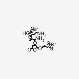 C=CC(N)=O.C=CCS(=O)(=O)[O-].NCCS(=O)(=O)O.O=C1C=CC(=O)O1.[Na+]